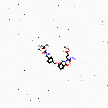 COC(=O)CCC(C(N)=O)N1Cc2c(OCc3ccc(CNC(=O)OC(C)(C)C)cc3)cccc2C1=O